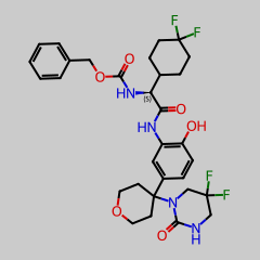 O=C(N[C@H](C(=O)Nc1cc(C2(N3CC(F)(F)CNC3=O)CCOCC2)ccc1O)C1CCC(F)(F)CC1)OCc1ccccc1